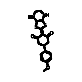 COc1ccc(C2CC(=O)C(=C3SC4NCCNC4S3)C(=O)C2)cc1